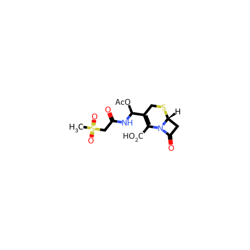 CC(=O)OC(NC(=O)CS(C)(=O)=O)C1=C(C(=O)O)N2C(=O)C[C@H]2SC1